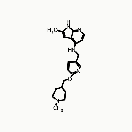 Cc1cc2c(NCc3ccc(OCC4CCN(C)CC4)nc3)ccnc2[nH]1